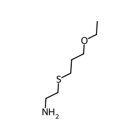 CCOCCCSCCN